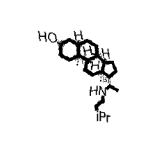 CC(C)CCNC(C)[C@H]1CC[C@H]2[C@@H]3CC[C@H]4C[C@@H](O)CC[C@]4(C)[C@H]3CC[C@]12C